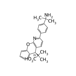 CC(C)(N)c1ccc(-c2ccc3c(n2)Oc2ccccc2[C@@H]3C(C)(C)C(=O)O)cc1